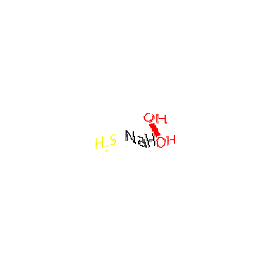 OO.S.[NaH]